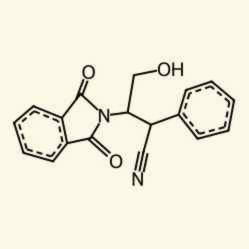 N#CC(c1ccccc1)C(CO)N1C(=O)c2ccccc2C1=O